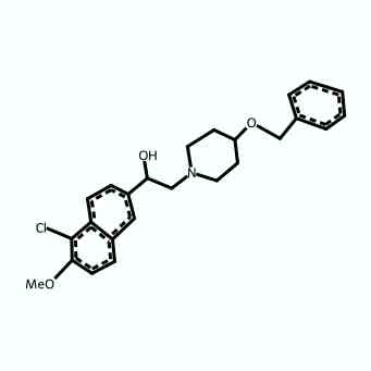 COc1ccc2cc(C(O)CN3CCC(OCc4ccccc4)CC3)ccc2c1Cl